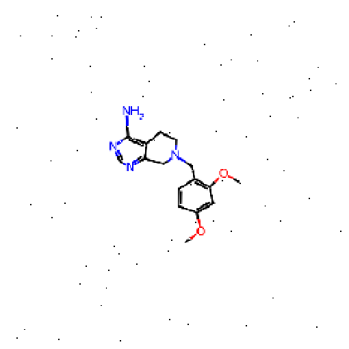 COc1ccc(CN2CCc3c(N)ncnc3C2)c(OC)c1